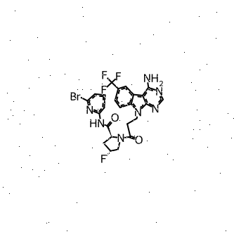 Nc1ncnc2c1c1cc(C(F)(F)F)ccc1n2CCC(=O)N1C[C@H](F)C[C@H]1C(=O)Nc1cccc(Br)n1